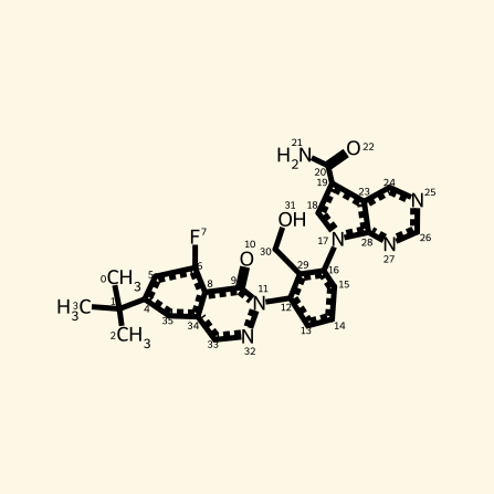 CC(C)(C)c1cc(F)c2c(=O)n(-c3cccc(-n4cc(C(N)=O)c5cncnc54)c3CO)ncc2c1